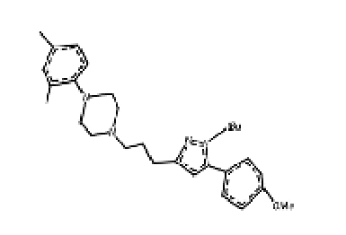 COc1ccc(-c2cc(CCCN3CCN(c4ccc(C)cc4C)CC3)nn2C(C)(C)C)cc1